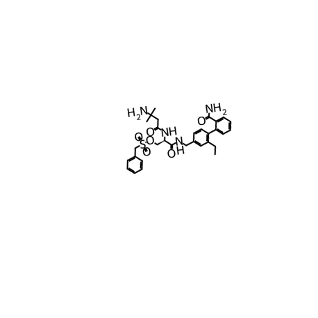 CCc1cc(CNC(=O)[C@@H](COS(=O)(=O)Cc2ccccc2)NC(=O)CC(C)(C)N)ccc1-c1ccccc1C(N)=O